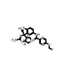 C#CC1(c2cc(NC(=O)c3cnc(OCF)cn3)ccc2F)N=C(N)O[C@@H]2COC[C@@H]21